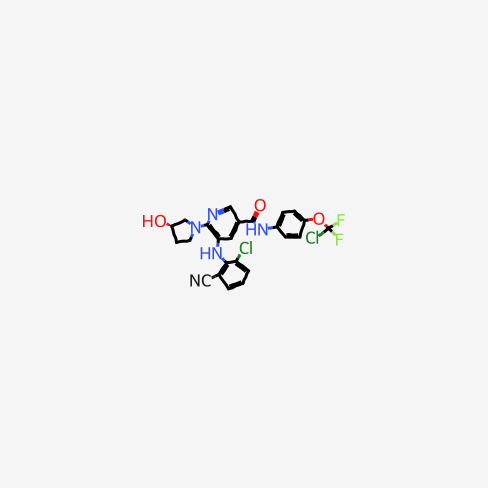 N#Cc1cccc(Cl)c1Nc1cc(C(=O)Nc2ccc(OC(F)(F)Cl)cc2)cnc1N1CC[C@@H](O)C1